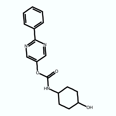 O=C(NC1CCC(O)CC1)Oc1cnc(-c2ccccc2)nc1